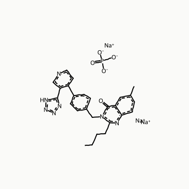 CCCCc1nc2ccc(C)cc2c(=O)n1Cc1ccc(-c2ccncc2-c2nnn[nH]2)cc1.O=P([O-])([O-])[O-].[Na+].[Na+].[Na+]